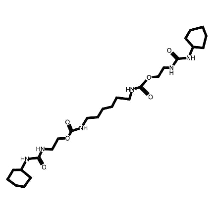 O=C(NCCOC(=O)NCCCCCCNC(=O)OCCNC(=O)NC1CCCCC1)NC1CCCCC1